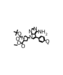 CCOC(=O)C1CC(n2cc(-c3ccc(OC)cc3)c3c(N)ncnc32)CN1C(=O)OC(C)(C)C